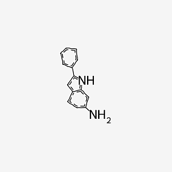 Nc1ccc2cc(-c3ccccc3)[nH]c2c1